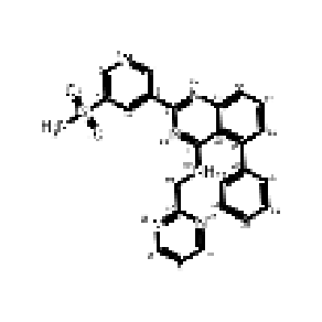 NS(=O)(=O)c1cncc(-c2nc(NCc3ncccn3)c3c(-c4ccccc4)cccc3n2)c1